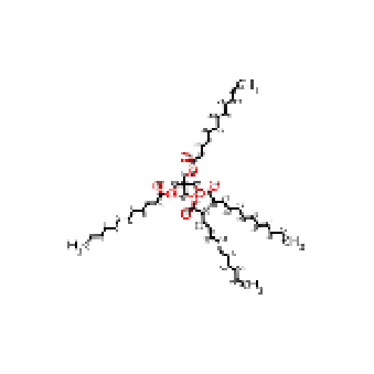 CCCCCCCCCCCC(=O)OCC(COC(=O)CCCCCCCCCCC)(COC(=O)CCCCCCCCCCC)COC(=O)CCCCCCCCCCC